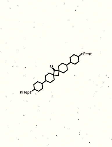 CCCCCCCC1CCC(C2CCC3(CC2)CC2(CCC(C4CCC(CCCCC)CC4)CC2)C3=O)CC1